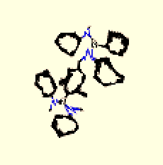 Cc1cc(CN(B(c2ccccc2)N(C)c2ccccc2)c2ccccc2)cc(C)c1B(N(C)c1ccccc1)N(C)c1ccccc1